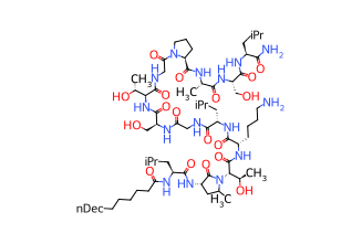 CCCCCCCCCCCCCCCC(=O)N[C@@H](CC(C)C)C(=O)N[C@H]1CC(C)N([C@H](C(=O)N[C@@H](CCCCN)C(=O)N[C@@H](CC(C)C)C(=O)NCC(=O)N[C@@H](CO)C(=O)N[C@H](C(=O)NCC(=O)N2CCC[C@H]2C(=O)N[C@@H](C)C(=O)N[C@@H](CO)C(=O)N[C@@H](CC(C)C)C(N)=O)[C@@H](C)O)[C@@H](C)O)C1=O